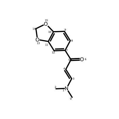 CN(C)C=CC(=O)c1ccc2c(c1)OCO2